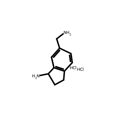 Cl.Cl.NCc1ccc2c(c1)C(N)CC2